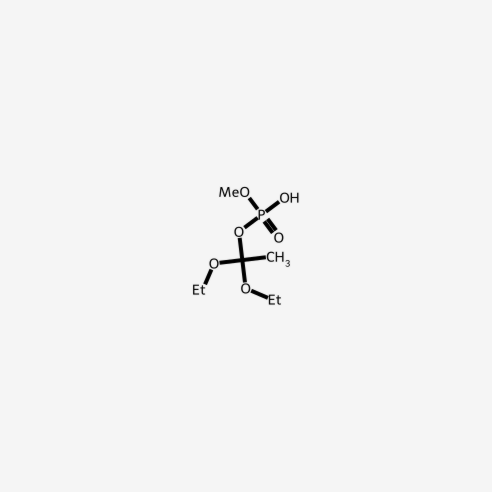 CCOC(C)(OCC)OP(=O)(O)OC